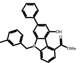 COC(=O)c1cccc2c1c1c(O)cc(-c3ccccc3)cc1n2Cc1cccc(C)c1